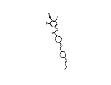 CCCOC1CCC(COC2CCC(C(=O)Oc3cc(F)c(C#N)c(F)c3)CC2)CC1